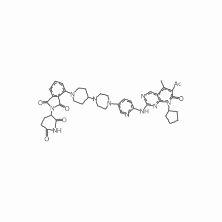 CC(=O)c1c(C)c2cnc(Nc3ccc(N4CCN(C5CCN(c6cccc7c6C(=O)N(C6CCC(=O)NC6=O)C7=O)CC5)CC4)cn3)nc2n(C2CCCC2)c1=O